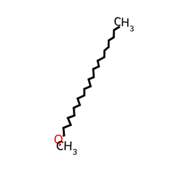 CCCCCCCCCCCCCCCCCCCCCCCCOC